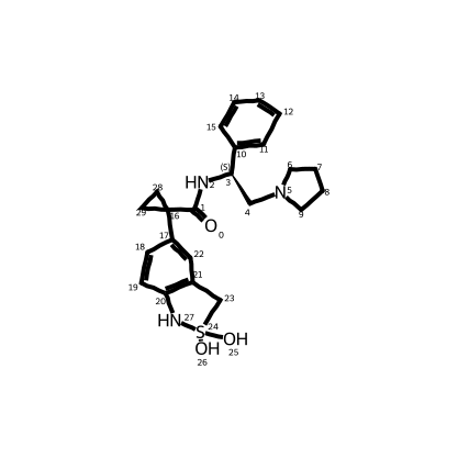 O=C(N[C@H](CN1CCCC1)c1ccccc1)C1(c2ccc3c(c2)CS(O)(O)N3)CC1